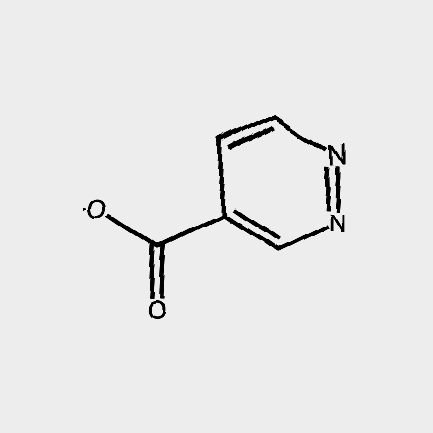 [O]C(=O)c1ccnnc1